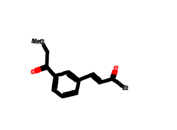 CCC(=O)C=Cc1cccc(C(=O)COC)c1